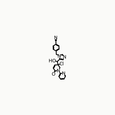 N#Cc1ccc(Cn2cncc2C(O)C2(Cl)C=CC(=O)N(c3ccccn3)C2)cc1